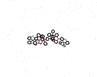 C=C(/C=C\C1=C(C)c2ccccc2C1(c1ccccc1)c1ccc(-c2cccc3c2oc2cccc(N(c4ccc5c(c4)C4(c6ccccc6O5)c5ccccc5-c5ccccc54)c4cccc5c4-c4ccccc4C5(c4ccccc4)c4ccccc4)c23)cc1)N(c1ccc2c(c1)C1(c3ccccc3O2)c2ccccc2-c2ccccc21)c1cccc2oc3ccccc3c12